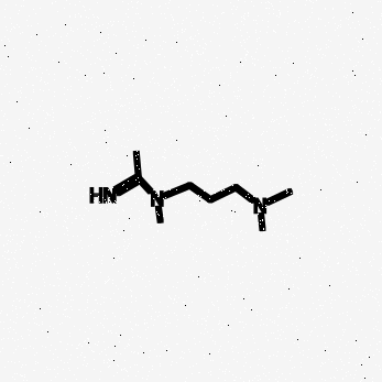 CC(=N)N(C)CCCN(C)C